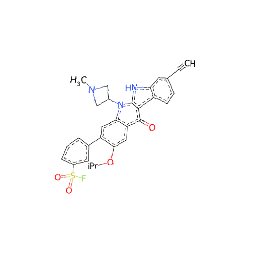 C#Cc1ccc2c(c1)[nH]c1c2c(=O)c2cc(OC(C)C)c(-c3cccc(S(=O)(=O)F)c3)cc2n1C1CN(C)C1